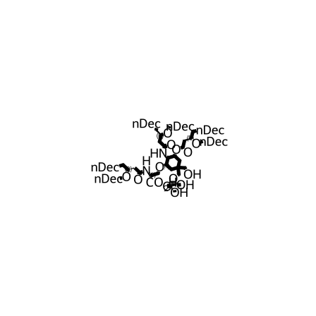 CCCCCCCCCCC[C@H](CC(=O)NC1C(OC(=O)C[C@@H](CCCCCCCCCCC)OCCCCCCCCCC)CC(CO)(COP(=O)(O)O)C[C@H]1OC[C@H](NC(=O)C[C@@H](CCCCCCCCCCC)OCCCCCCCCCC)C(=O)O)OCCCCCCCCCC